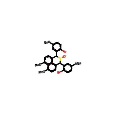 COc1ccc(C(c2cc(OC)ccc2Br)[S+]([O-])C(c2ccc(OC)cc2)c2cc(OC)ccc2Br)cc1